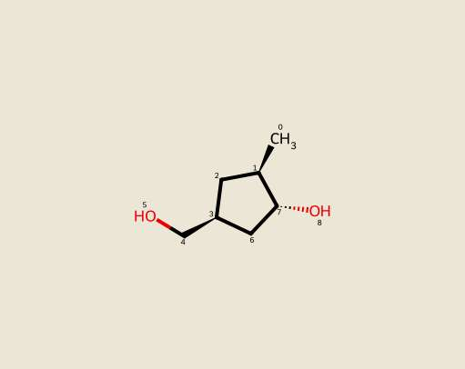 C[C@@H]1C[C@H](CO)C[C@H]1O